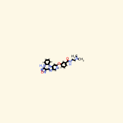 CN(C)CCNC(=O)c1cccc(Oc2cc3c(cn2)nc(-c2nonc2N)n3-c2ccccc2)c1